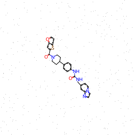 O=C(NCc1ccn2ccnc2c1)Nc1ccc(C2CCN(C(=O)c3cc4occc4s3)CC2)cc1